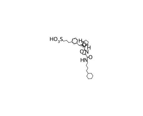 O=C(NCCCCC1CCCCC1)c1coc([C@H]2[C@@H](Cc3cccc(CCCS(=O)(=O)O)c3)[C@@H]3CC[C@H]2O3)n1